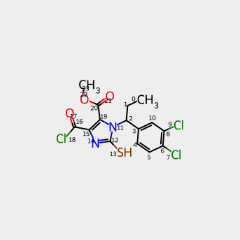 CCC(c1ccc(Cl)c(Cl)c1)n1c(S)nc(C(=O)Cl)c1C(=O)OC